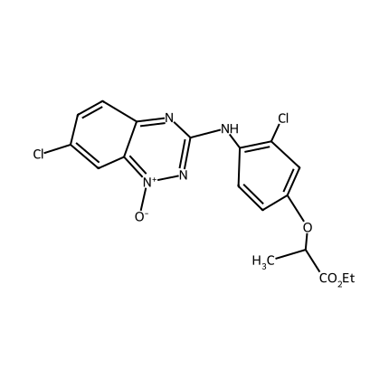 CCOC(=O)C(C)Oc1ccc(Nc2nc3ccc(Cl)cc3[n+]([O-])n2)c(Cl)c1